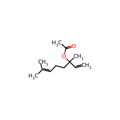 C=CC(C)(CCC=C(C)C)OC(C)=O